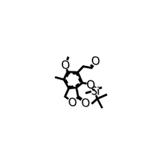 COc1c(C)c2c(c(O[Si](C)(C)C(C)(C)C)c1CC=O)C(=O)OC2